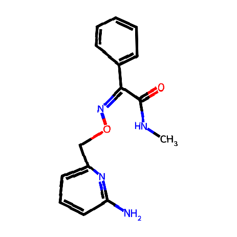 CNC(=O)C(=NOCc1cccc(N)n1)c1ccccc1